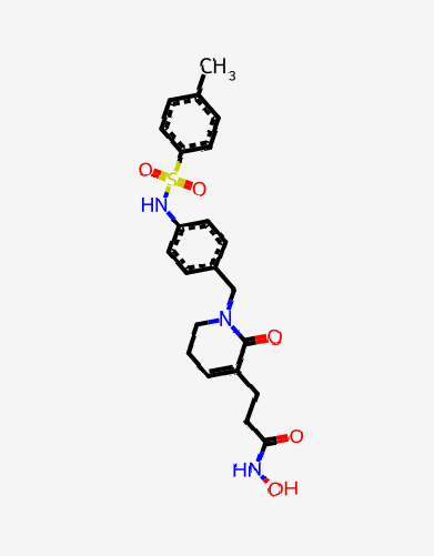 Cc1ccc(S(=O)(=O)Nc2ccc(CN3CCC=C(CCC(=O)NO)C3=O)cc2)cc1